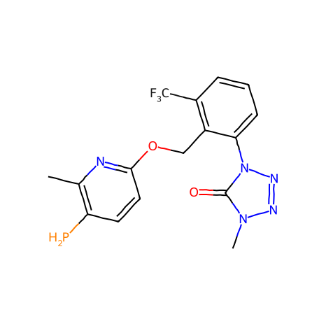 Cc1nc(OCc2c(-n3nnn(C)c3=O)cccc2C(F)(F)F)ccc1P